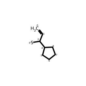 C=CC([S])C1CCCC1